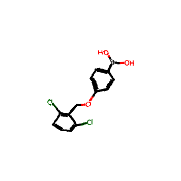 OB(O)c1ccc(OCc2c(Cl)cccc2Cl)cc1